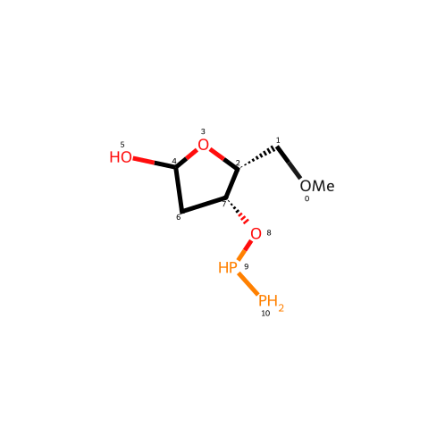 COC[C@H]1OC(O)C[C@H]1OPP